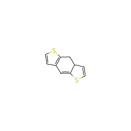 C1=CC2Cc3sccc3C=C2S1